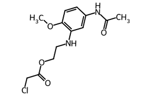 COc1ccc(NC(C)=O)cc1NCCOC(=O)CCl